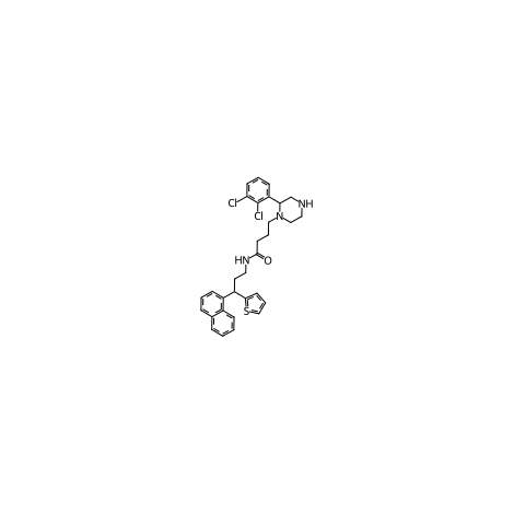 O=C(CCCN1CCNCC1c1cccc(Cl)c1Cl)NCCC(c1cccs1)c1cccc2ccccc12